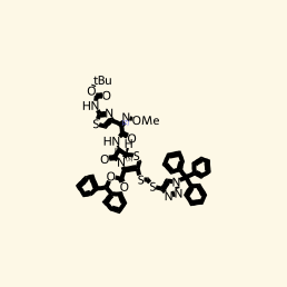 CO/N=C(\C(=O)N[C@@H]1C(=O)N2C(C(=O)OC(c3ccccc3)c3ccccc3)=C(SCSc3cn(C(c4ccccc4)(c4ccccc4)c4ccccc4)nn3)CS[C@@H]12)c1csc(NC(=O)OC(C)(C)C)n1